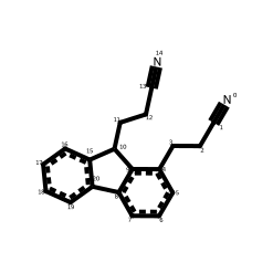 N#CCCc1cccc2c1C(CCC#N)c1ccccc1-2